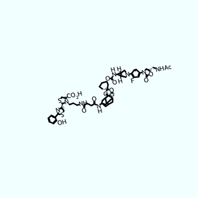 CC(=O)NC[C@H]1CN(c2ccc(N3C[C@@H]4C(NC(=O)OC5CCC[C@]6(C5)OOC5(O6)C6CC7CC5CC(NC(=O)CCC(=O)NCCCN5C([C@H]8CSC(c9ccccc9O)=N8)SC[C@H]5C(=O)O)(C7)C6)[C@@H]4C3)c(F)c2)C(=O)O1